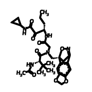 CCC[C@H](NC(=O)CN(C[C@@]12CC(=NO1)c1cc3c(cc12)OCO3)C(=O)[C@@H](NC(C)=O)C(C)(C)C)C(=O)C(=O)NC1CC1